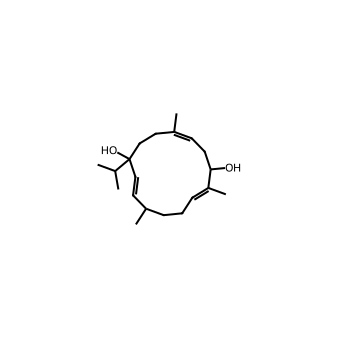 C/C1=C/CC(O)/C(C)=C/CCC(C)/C=C/C(O)(C(C)C)CC1